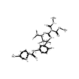 C[C@H](F)[C@H]1OC(N(C(=O)OC(C)(C)C)C(=O)OC(C)(C)C)=N[C@](C)(c2cc(NC(=O)c3ccc(C#N)cn3)ccc2F)[C@H]1F